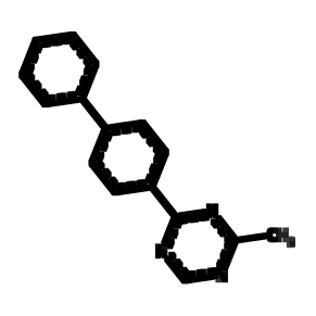 Cc1ncnc(-c2ccc(-c3ccccc3)cc2)n1